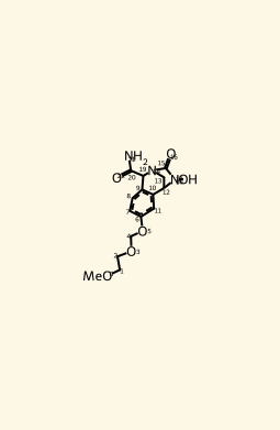 COCCOCOc1ccc2c(c1)C1CN(C(=O)N1O)C2C(N)=O